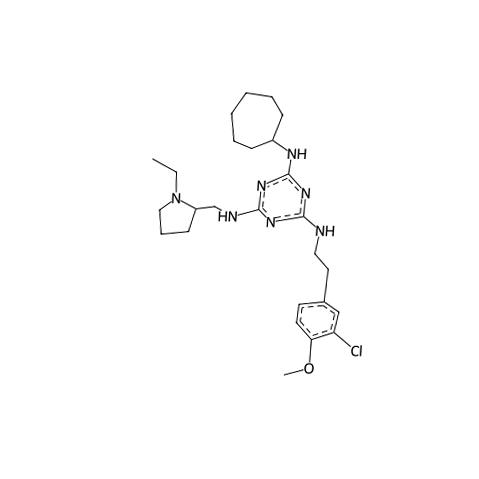 CCN1CCCC1CNc1nc(NCCc2ccc(OC)c(Cl)c2)nc(NC2CCCCCC2)n1